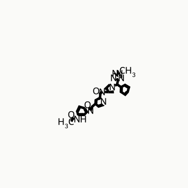 CC(=O)Nc1ccc2oc(-c3ccnc(C(=O)N4C5CN(C(c6ccccc6)c6nnn(C)n6)CC54)c3)nc2c1